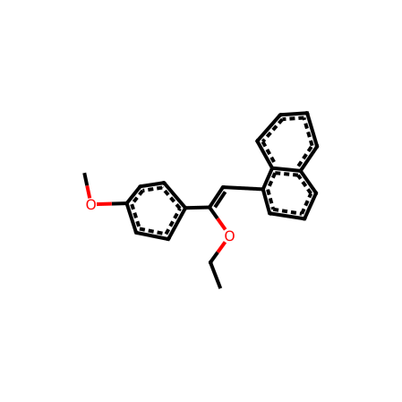 CCOC(=Cc1cccc2ccccc12)c1ccc(OC)cc1